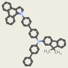 CC1(C)c2ccccc2-c2ccc(N(c3ccc(-c4ccccc4)cc3)c3ccc(-c4ccc(-n5ccc6c7ccccc7c7ccccc7c65)cc4)cc3)cc21